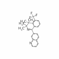 CC1(C)N=C(c2ccc3cccnc3c2)c2cccc(C(F)(F)F)c2C1(C)C